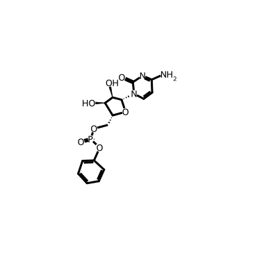 Nc1ccn([C@@H]2O[C@H](CO[P](=O)Oc3ccccc3)[C@@H](O)[C@H]2O)c(=O)n1